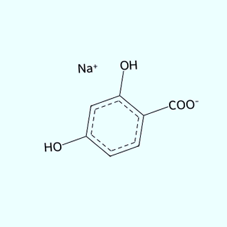 O=C([O-])c1ccc(O)cc1O.[Na+]